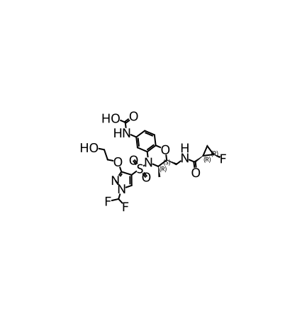 C[C@@H]1[C@H](CNC(=O)[C@H]2C[C@H]2F)Oc2ccc(NC(=O)O)cc2N1S(=O)(=O)c1cn(C(F)F)nc1OCCO